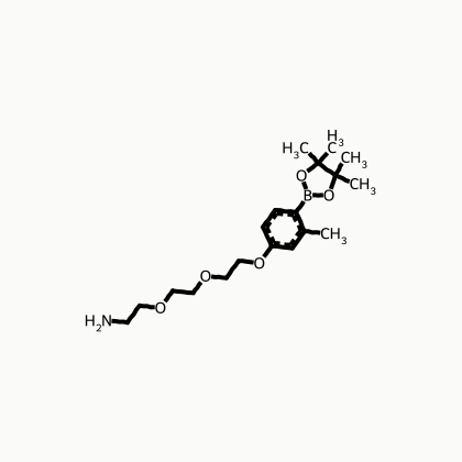 Cc1cc(OCCOCCOCCN)ccc1B1OC(C)(C)C(C)(C)O1